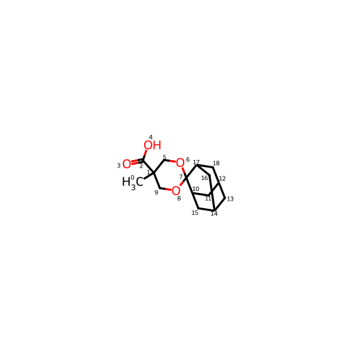 CC1(C(=O)O)COC2(OC1)C1CC3CC(C1)CC2C3